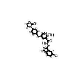 Cl.O=C(NCc1n[nH]c2ccc(Cl)cc12)c1cncc(Cc2ccc(N3CCOC3=O)cc2)c1